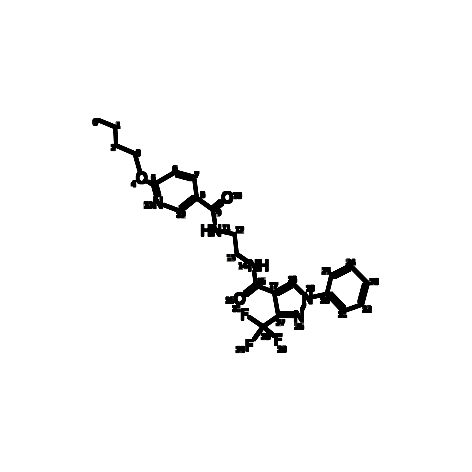 CCCCOc1ccc(C(=O)NCCNC(=O)c2cn(-c3ccccc3)nc2C(F)(F)F)cn1